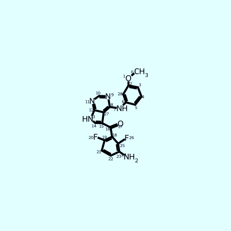 COc1cccc(Nc2ncnc3[nH]cc(C(=O)c4c(F)ccc(N)c4F)c23)c1